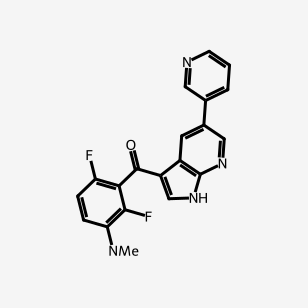 CNc1ccc(F)c(C(=O)c2c[nH]c3ncc(-c4cccnc4)cc23)c1F